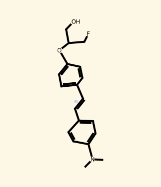 CN(C)c1ccc(/C=C/c2ccc(OC(CO)CF)cc2)cc1